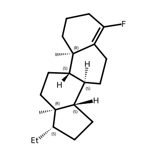 CC[C@H]1CC[C@H]2[C@@H]3CCC4=C(F)CCC[C@]4(C)[C@H]3CC[C@]12C